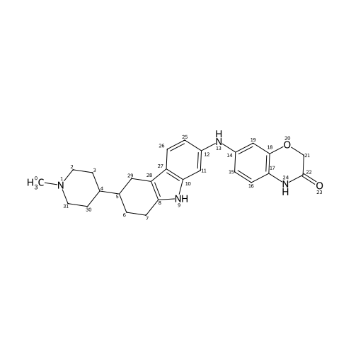 CN1CCC(C2CCc3[nH]c4cc(Nc5ccc6c(c5)OCC(=O)N6)ccc4c3C2)CC1